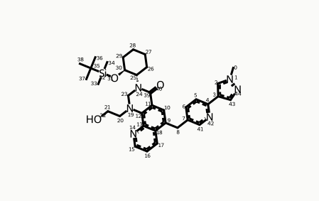 Cn1cc(-c2ccc(Cc3cc4c(c5ncccc35)N(CCO)CN([C@H]3CCCC[C@@H]3O[Si](C)(C)C(C)(C)C)C4=O)cn2)cn1